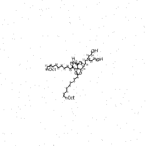 CCCCCCCC/C=C\CCCCCCCC(=O)OC(COCCN(CCO)CCO)C(OC(=O)CCCCCCC/C=C\CCCCCCCC)C(N)=O